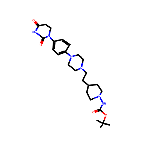 CC(C)(C)OC(=O)NN1CCC(CCN2CCN(c3ccc(N4CCC(=O)NC4=O)cc3)CC2)CC1